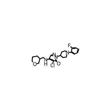 O=c1c(Cl)c(NCC2CCCOC2)cnn1C1CCN(c2ccccc2F)CC1